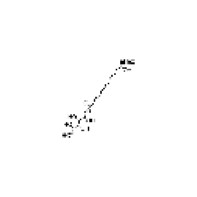 CCCCCCC(O)CCCCCCCCCCC(=O)OC[C@H](O)[C@@H](O)[C@H](O)[C@H](O)CO